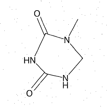 CN1CNC(=O)NC1=O